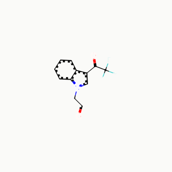 O=CCn1cc(C(=O)C(F)(F)F)c2ccccc21